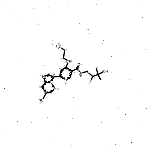 CC(C)(O)C(F)CNC(=O)c1cnc(-c2cnc3cc(C#N)cnn23)cc1NCCC(F)(F)F